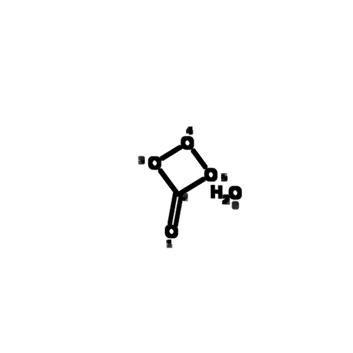 O.O=c1ooo1